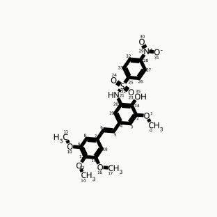 COc1cc(C=Cc2cc(OC)c(OC)c(OC)c2)cc(NS(=O)(=O)c2ccc([N+](=O)[O-])cc2)c1O